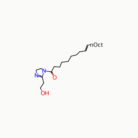 CCCCCCCCC=CCCCCCCCC(=O)N1CCN=C1CCO